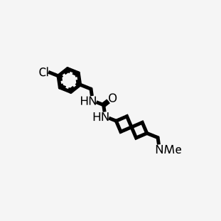 CNCC1CC2(C1)CC(NC(=O)NCc1ccc(Cl)cc1)C2